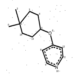 CC1(C)CCC(Oc2ccncc2)CC1